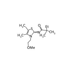 CCC(C)(C)C(=O)/N=c1\sc(C)c(C)n1CCOC